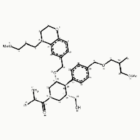 COCCCN1CCOc2ccc(CO[C@H]3CN(C(=O)C(N)C(C)C)C[C@@H](CO)[C@@H]3c3ccc(COCC(C)COC)cc3)cc21